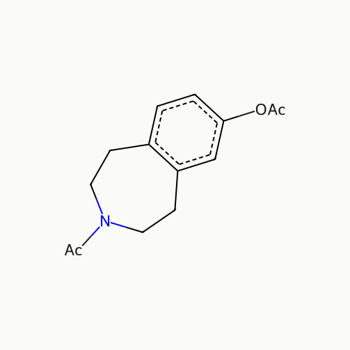 CC(=O)Oc1ccc2c(c1)CCN(C(C)=O)CC2